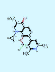 Cc1cc(-c2ccc3c(=O)c(C(=O)O)cn(C4CC4)c3c2OC(F)F)cc(C)n1